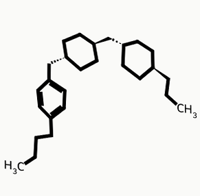 CCCCc1ccc(C[C@H]2CC[C@H](C[C@H]3CC[C@H](CCC)CC3)CC2)cc1